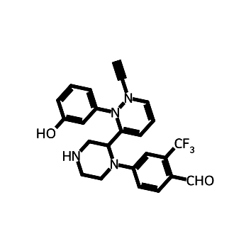 C#CN1C=CC=C(C2CNCCN2c2ccc(C=O)c(C(F)(F)F)c2)N1c1cccc(O)c1